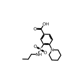 CCCNS(=O)(=O)c1cc(C(=O)O)ccc1N1CCCCC1